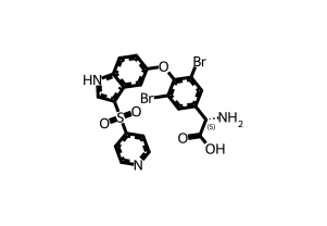 N[C@H](C(=O)O)c1cc(Br)c(Oc2ccc3[nH]cc(S(=O)(=O)c4ccncc4)c3c2)c(Br)c1